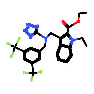 CCOC(=O)c1c(CN(Cc2cc(C(F)(F)F)cc(C(F)(F)F)c2)c2nn[nH]n2)c2ccccc2n1CC